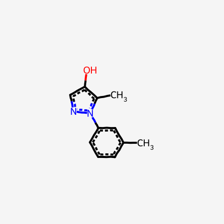 Cc1cccc(-n2ncc(O)c2C)c1